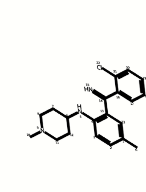 Cc1ccc(NC2CCN(C)CC2)c(C(=N)c2ccccc2Cl)c1